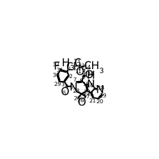 Cc1cc(C(=O)N2C=C(C(=O)OC(C)C)c3[nH]c4ncccc4c3C3(COC3)C2)ccc1F